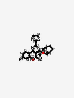 CC(=O)N1CC2CCC(C1)N2Cc1nc(-c2nccs2)nc(-c2ccc(F)cc2Cl)c1C(=O)O